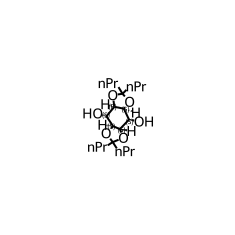 CCCC1(CCC)O[C@@H]2[C@@H](O)[C@@H]3OC(CCC)(CCC)O[C@H]3[C@H](O)[C@@H]2O1